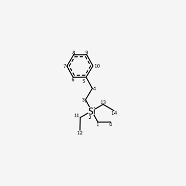 CC[Si]([CH]Cc1ccccc1)(CC)CC